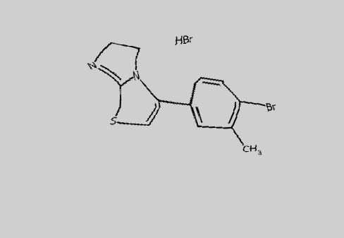 Br.Cc1cc(C2=CSC3=NCCN23)ccc1Br